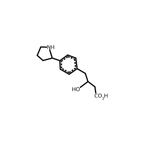 O=C(O)CC(O)Cc1ccc(C2CCCN2)cc1